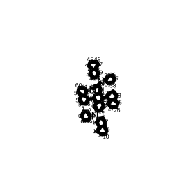 c1ccc(N(c2ccc3ccccc3c2)c2ccc3c(-c4cccc5ccccc45)c4cc(N(c5ccccc5)c5ccc6ccccc6c5)cnc4c(-c4cccc5ccccc45)c3c2)cc1